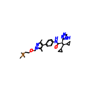 Cc1nn(COCCS(C)(C)C)c(C)c1-c1ccc(NC(=O)C(c2nnc[nH]2)C(C2CC2)C2CC2)cc1